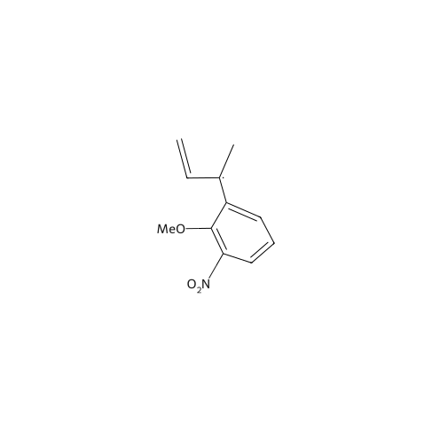 C=C[C](C)c1cccc([N+](=O)[O-])c1OC